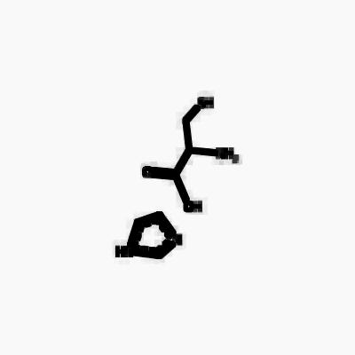 NC(CS)C(=O)O.c1c[nH]cn1